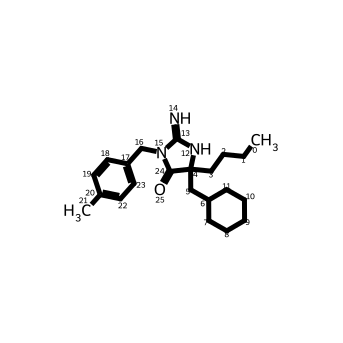 CCCCC1(CC2CCCCC2)NC(=N)N(Cc2ccc(C)cc2)C1=O